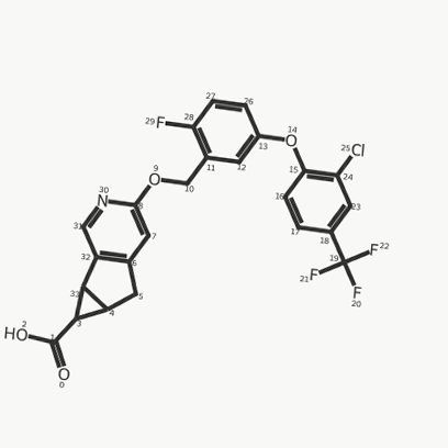 O=C(O)C1C2Cc3cc(OCc4cc(Oc5ccc(C(F)(F)F)cc5Cl)ccc4F)ncc3C21